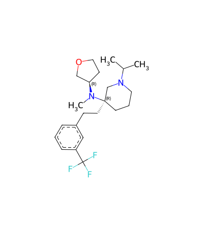 CC(C)N1CCC[C@@](CCc2cccc(C(F)(F)F)c2)(N(C)[C@@H]2CCOC2)C1